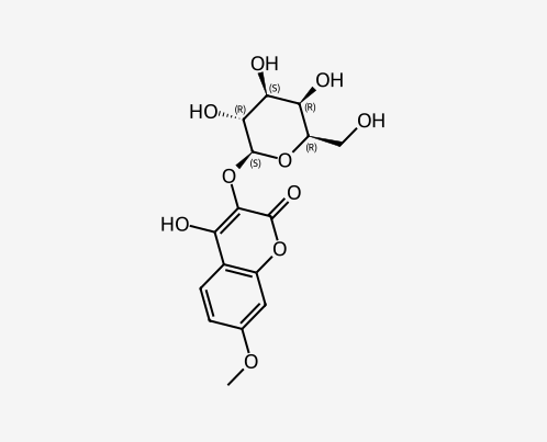 COc1ccc2c(O)c(O[C@@H]3O[C@H](CO)[C@H](O)[C@H](O)[C@H]3O)c(=O)oc2c1